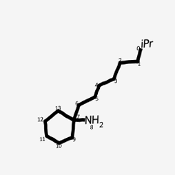 CC(C)CCCCCCC1(N)CCCCC1